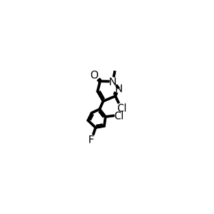 Cn1nc(Cl)c(-c2ccc(F)cc2Cl)cc1=O